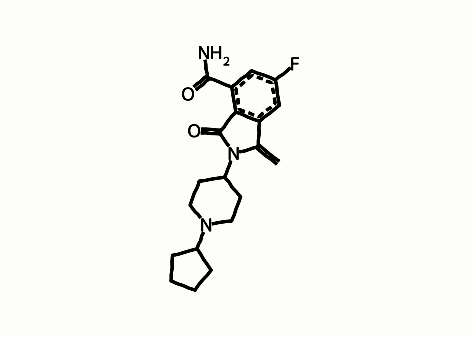 C=C1c2cc(F)cc(C(N)=O)c2C(=O)N1C1CCN(C2CCCC2)CC1